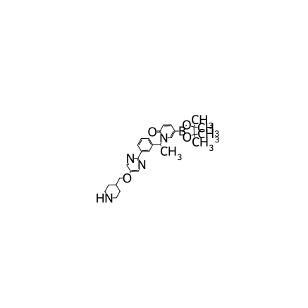 C[C@H](c1cccc(-c2ncc(OCC3CCNCC3)cn2)c1)n1cc(B2OC(C)(C)C(C)(C)O2)ccc1=O